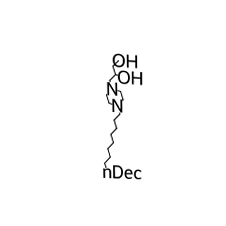 CCCCCCCCCCCCCCCCCCN1CCN(CC(O)CO)CC1